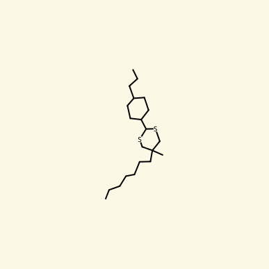 CCCCCCCC1(C)CSC(C2CCC(CCC)CC2)SC1